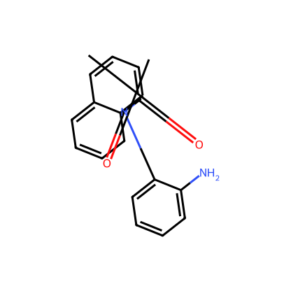 Nc1ccccc1N1C(=O)CC2=CC=CC3=CC=CCC32C1=O